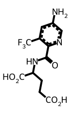 Nc1cnc(C(=O)NC(CCC(=O)O)C(=O)O)c(C(F)(F)F)c1